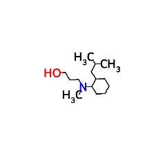 CC(C)CC1CCCCC1N(C)CCCO